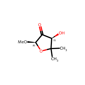 CO[C@@H]1OC(C)(C)[C@H](O)C1=O